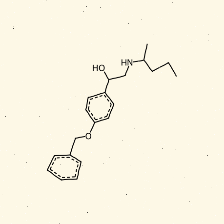 CCCC(C)NCC(O)c1ccc(OCc2ccccc2)cc1